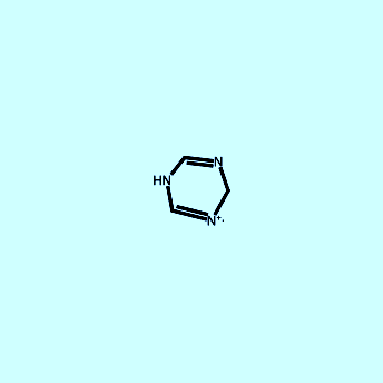 C1=NC[N+]=CN1